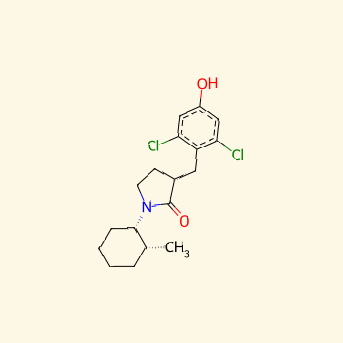 C[C@@H]1CCCC[C@@H]1N1CCC(Cc2c(Cl)cc(O)cc2Cl)C1=O